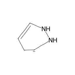 [C]1CC=CNN1